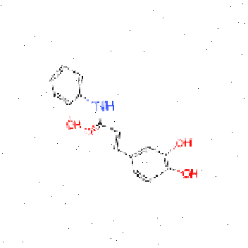 O=C(C=Cc1ccc(O)c(O)c1)Nc1ccccc1O